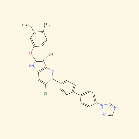 Cc1ccc(Oc2[nH]c3cc(Cl)c(-c4ccc(-c5ccc(-n6cncn6)cc5)cc4)nc3c2C#N)cc1C(=O)O